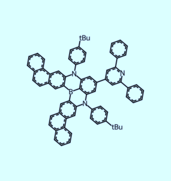 CC(C)(C)c1ccc(N2c3cc4c(ccc5ccccc54)cc3B3c4cc5ccc6ccccc6c5cc4N(c4ccc(C(C)(C)C)cc4)c4cc(-c5cc(-c6ccccc6)nc(-c6ccccc6)c5)cc2c43)cc1